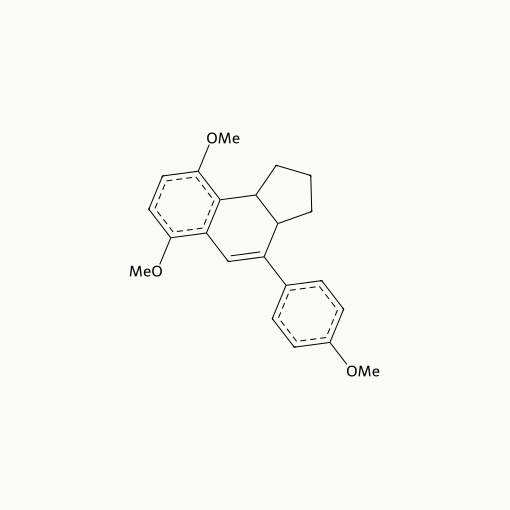 COc1ccc(C2=Cc3c(OC)ccc(OC)c3C3CCCC23)cc1